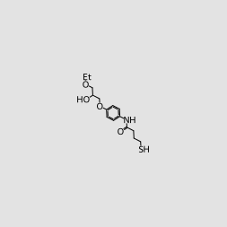 CCOCC(O)COc1ccc(NC(=O)CCCS)cc1